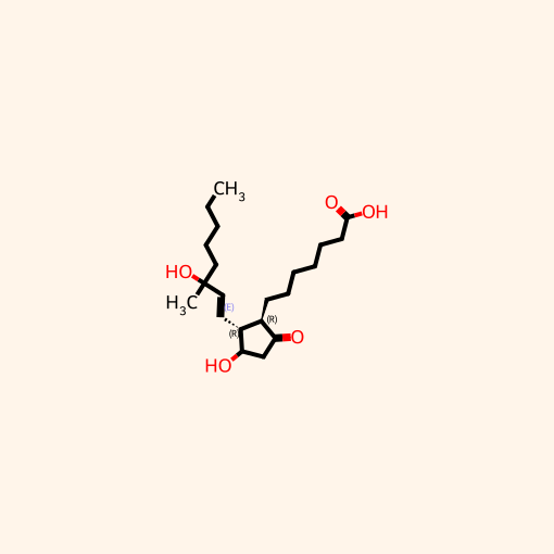 CCCCCC(C)(O)/C=C/[C@H]1C(O)CC(=O)[C@@H]1CCCCCCC(=O)O